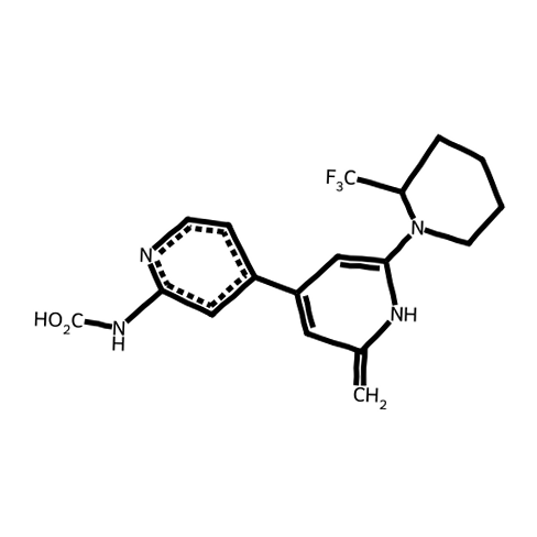 C=C1C=C(c2ccnc(NC(=O)O)c2)C=C(N2CCCCC2C(F)(F)F)N1